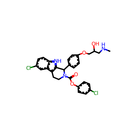 CNCC(O)COc1ccc(C2c3[nH]c4ccc(Cl)cc4c3CCN2C(=O)Oc2ccc(Cl)cc2)cc1